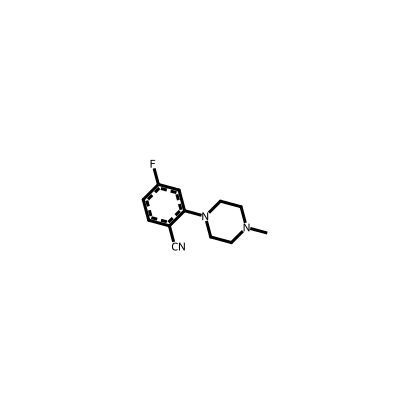 CN1CCN(c2cc(F)ccc2C#N)CC1